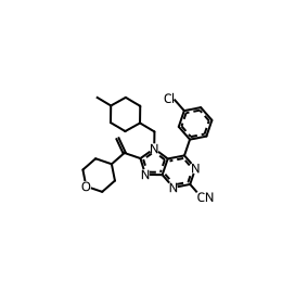 C=C(c1nc2nc(C#N)nc(-c3cccc(Cl)c3)c2n1CC1CCC(C)CC1)C1CCOCC1